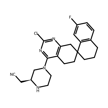 N#CC[C@H]1CN(c2nc(Cl)nc3c2CCC2(CCCc4ccc(F)cc42)C3)CCN1